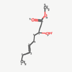 CCC=CCCC(O)C(=O)OC